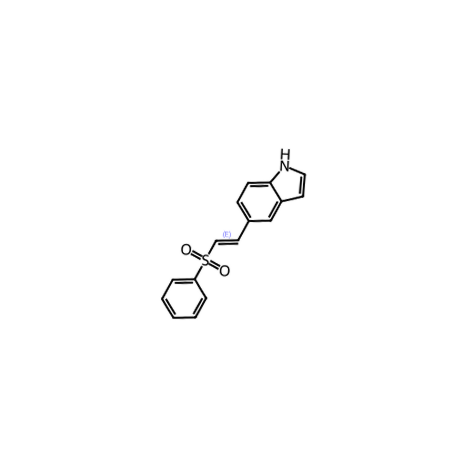 O=S(=O)(/C=C/c1ccc2[nH]ccc2c1)c1ccccc1